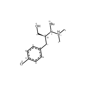 C[SiH](C)N([C@H](CO)Cc1ccc(Cl)cc1)C(C)(C)C